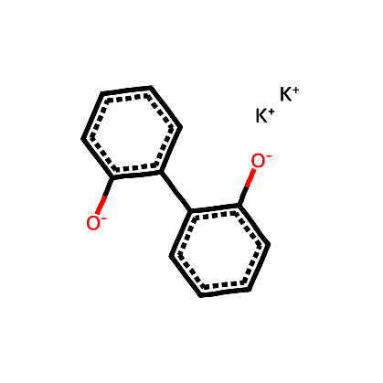 [K+].[K+].[O-]c1ccccc1-c1ccccc1[O-]